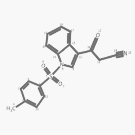 Cc1ccc(S(=O)(=O)n2cc(C(=O)CC#N)c3ccccc32)cc1